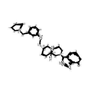 Fc1cccc2c(N3CCN4C[C@@H](COc5cccc(CN6CCCC6)c5)CC[C@H]4C3)noc12